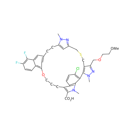 COCCOCc1nn(C)c2c1CSCc1cc(n(C)n1)CCc1cc(c3ccc(F)c(F)c3c1)OCCCc1c(C(=O)O)n(C)c3c-2c(Cl)ccc13